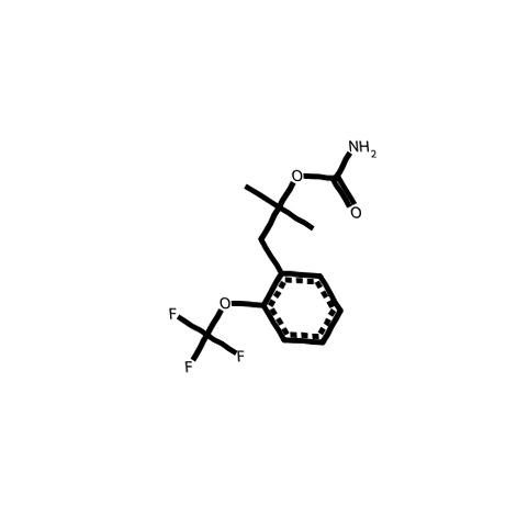 CC(C)(Cc1ccccc1OC(F)(F)F)OC(N)=O